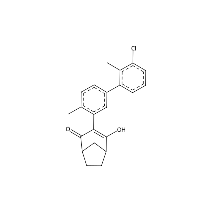 Cc1ccc(-c2cccc(Cl)c2C)cc1C1=C(O)C2CCC(C2)C1=O